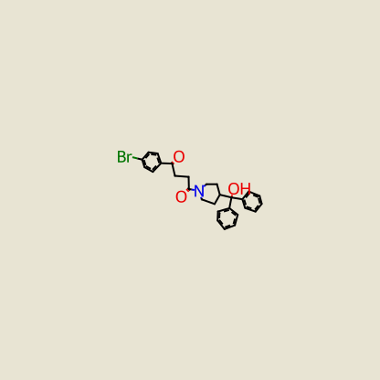 O=C(CCC(=O)N1CCC(C(O)(c2ccccc2)c2ccccc2)CC1)c1ccc(Br)cc1